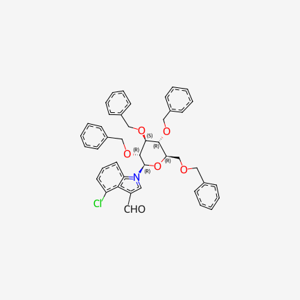 O=Cc1cn([C@@H]2O[C@H](COCc3ccccc3)[C@@H](OCc3ccccc3)[C@H](OCc3ccccc3)[C@H]2OCc2ccccc2)c2cccc(Cl)c12